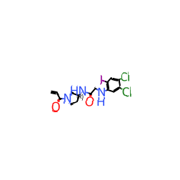 C=CC(=O)N1CC[C@@H](NC(=O)CNc2cc(Cl)c(Cl)cc2I)C1